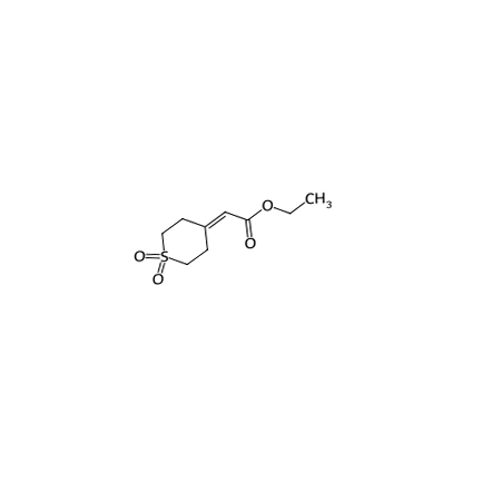 CCOC(=O)C=C1CCS(=O)(=O)CC1